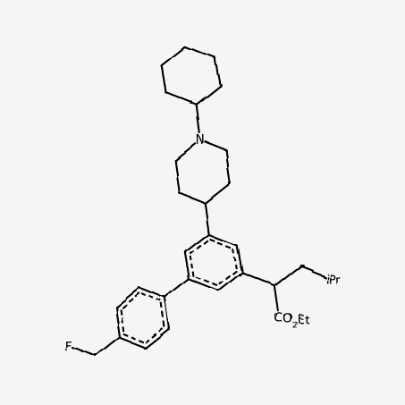 CCOC(=O)C(CC(C)C)c1cc(-c2ccc(CF)cc2)cc(C2CCN(C3CCCCC3)CC2)c1